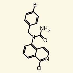 NC(=O)N(Cc1ccc(Br)cc1)c1cccc2c(Cl)nccc12